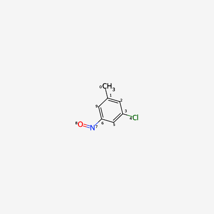 Cc1cc(Cl)cc(N=O)c1